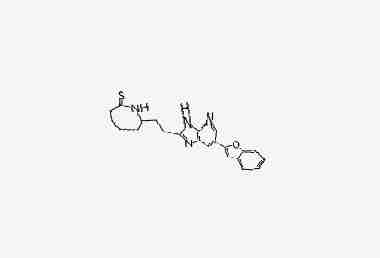 S=C1CCCCC(CCc2nc3cc(-c4cc5ccccc5o4)cnc3[nH]2)N1